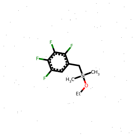 CCO[Si](C)(C)Cc1cc(F)c(F)c(F)c1F